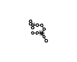 c1ccc(-c2ccc(-c3nc(-c4ccc(-c5ccccc5)cc4)nc(-c4cccc(-c5cccc(-c6ccc(-c7nc8c9ccccc9ccc8c8ccccc78)cc6)c5)c4)n3)cc2)cc1